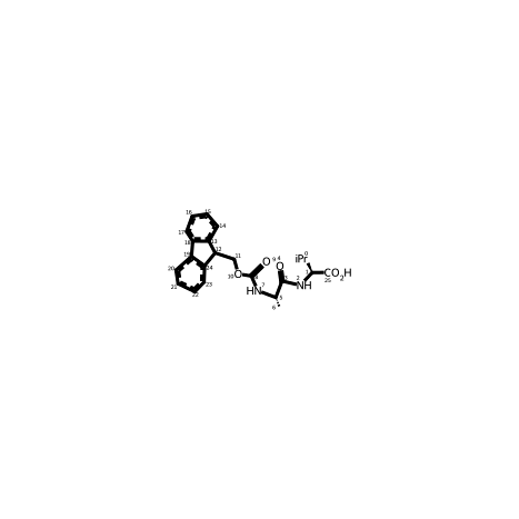 CC(C)[C@H](NC(=O)[C@H](C)NC(=O)OCC1c2ccccc2-c2ccccc21)C(=O)O